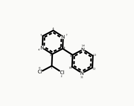 ClC(Cl)c1nccnc1-c1cnccn1